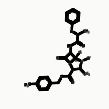 CC(Oc1ccccc1)C(=O)NC1C(=O)N2C(C(=O)OCc3ccc([N+](=O)[O-])cc3)C(C)[S+]([O-])[C@@H]12